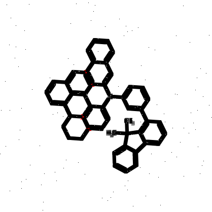 CC1(C)c2ccccc2-c2cccc(-c3cccc(N(c4ccc5ccccc5c4)c4ccccc4-c4cccc5cccc(C6CCCCC6)c45)c3)c21